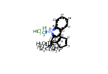 Cl.Cl.[CH3][Ti]([CH3])([CH3])([CH3])([CH3])([CH3])([CH3])([C]1=CC=CC1)[c]1cc2ccccc2[nH]1